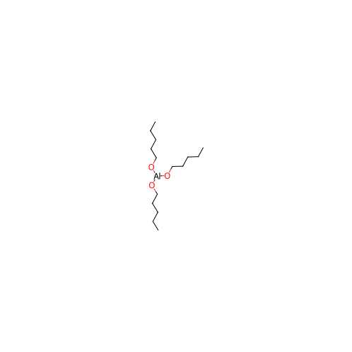 CCCCC[O][Al]([O]CCCCC)[O]CCCCC